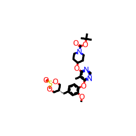 COc1cc(C[C@H]2CO[S@@](=O)OC2)ccc1Oc1ncnc(OC2CCN(C(=O)OC(C)(C)C)CC2)c1C